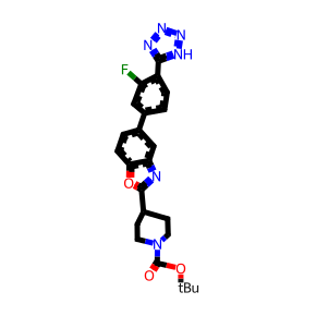 CC(C)(C)OC(=O)N1CCC(c2nc3cc(-c4ccc(-c5nnn[nH]5)c(F)c4)ccc3o2)CC1